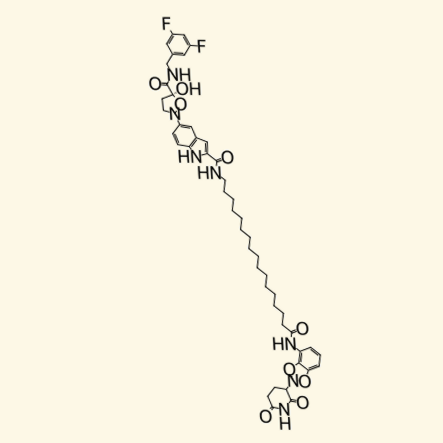 O=C1CCC(N2Oc3cccc(NC(=O)CCCCCCCCCCCCCCCCNC(=O)c4cc5cc(N6CC[C@@](O)(C(=O)NCc7cc(F)cc(F)c7)O6)ccc5[nH]4)c3O2)C(=O)N1